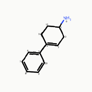 NC1CC=C(c2cc[c]cc2)CC1